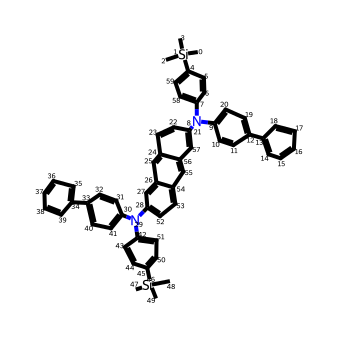 C[Si](C)(C)c1ccc(N(c2ccc(-c3ccccc3)cc2)c2ccc3cc4cc(N(c5ccc(-c6ccccc6)cc5)c5ccc([Si](C)(C)C)cc5)ccc4cc3c2)cc1